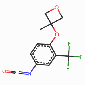 CC1(Oc2ccc(N=C=O)cc2C(F)(F)F)COC1